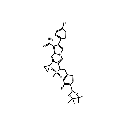 CC1(C)OB(c2ccc(CN(c3cn4nc(-c5ccc(Cl)cc5)c(C(N)=O)c4cc3C3CC3)S(C)(=O)=O)cc2F)OC1(C)C